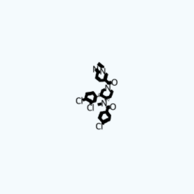 CN(C(=O)c1ccc(Cl)cc1)[C@@H]1CCN(C(=O)c2ccc3nccn3c2)C[C@H]1c1ccc(Cl)c(Cl)c1